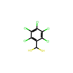 SC(S)c1c(Cl)c(Cl)c(Cl)c(Cl)c1Cl